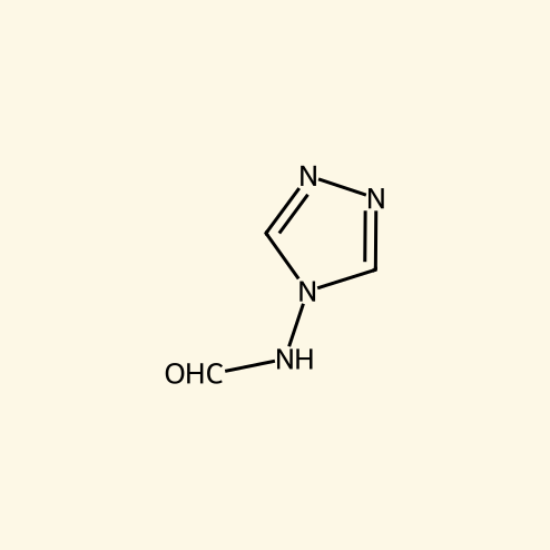 O=CNn1cnnc1